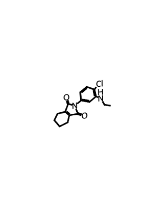 CCNc1cc(N2C(=O)C3=C(CCCC3)C2=O)ccc1Cl